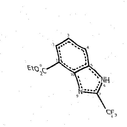 CCOC(=O)c1cccc2[nH]c(C(F)(F)F)nc12